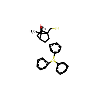 CC1(C)C2CCC1(CS)C(=O)C2.c1ccc([S+](c2ccccc2)c2ccccc2)cc1